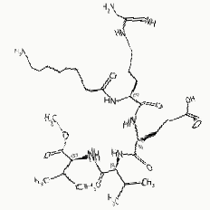 COC(=O)[C@@H](NC(=O)[C@@H](NC(=O)[C@H](CCC(=O)O)NC(=O)[C@H](CCCNC(=N)N)NC(=O)CCCCCN)C(C)C)C(C)C